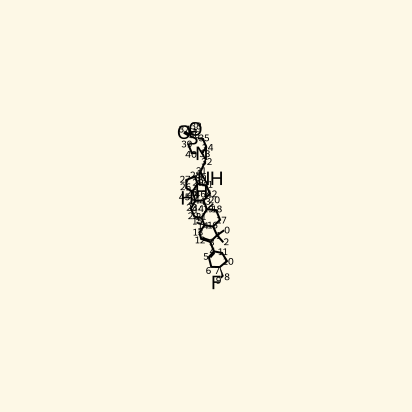 CC1(C)C(C2=CC[C@H](CF)CC2)=CC[C@@]2(C)C1CC[C@]1(C)C2CC[C@@H]2[C@H]3CCC[C@]3(NCCN3CCS(=O)(=O)CC3)CC[C@]21C